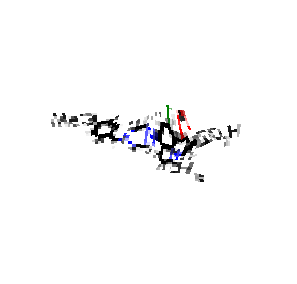 COc1ccc(CN2CCN(c3cc(F)c4c(=O)c(C(=O)O)cn5c4c3CCC5C)CC2)cc1